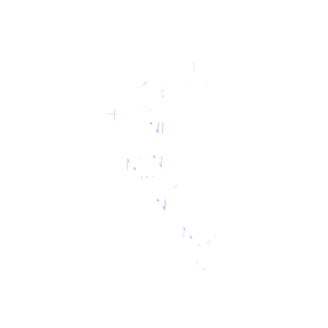 C=CC(=O)N1CC(NC(=O)c2cnc(CNc3cc(CC(F)(F)F)c(C)cc3O)n2C)C1